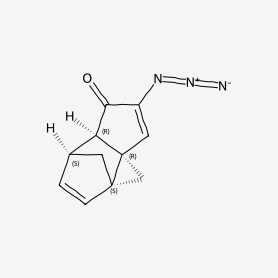 [N-]=[N+]=NC1=C[C@@]23C[C@@]24C=C[C@H](C4)[C@H]3C1=O